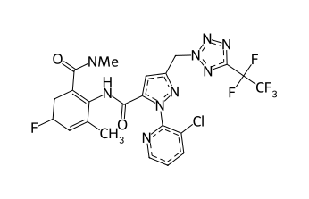 CNC(=O)C1=C(NC(=O)c2cc(Cn3nnc(C(F)(F)C(F)(F)F)n3)nn2-c2ncccc2Cl)C(C)=CC(F)C1